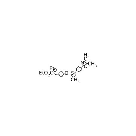 CCOC(=O)[C@H](Cc1ccc(OCc2sc(-c3ccc(-c4nc(C)c(C)o4)cc3)cc2C)cc1)OCC